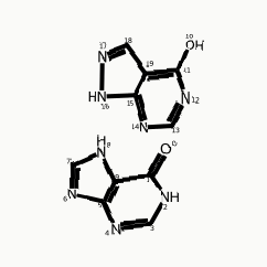 O=c1[nH]cnc2nc[nH]c12.Oc1ncnc2[nH]ncc12